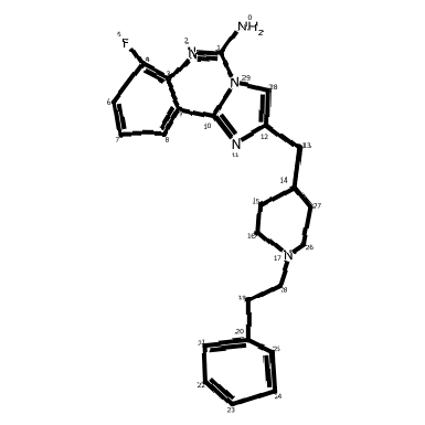 Nc1nc2c(F)cccc2c2nc(CC3CCN(CCc4ccccc4)CC3)cn12